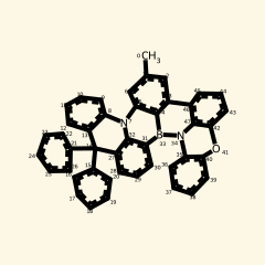 Cc1cc2c3c(c1)N1c4ccccc4C(c4ccccc4)(c4ccccc4)c4cccc(c41)B3N1c3ccccc3Oc3cccc-2c31